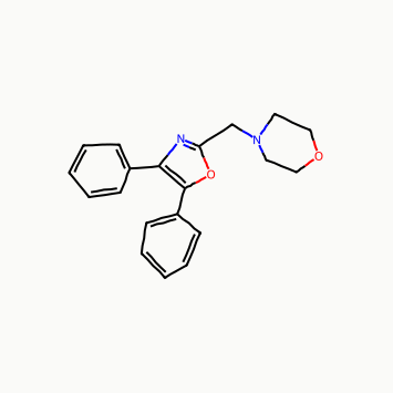 c1ccc(-c2nc(CN3CCOCC3)oc2-c2ccccc2)cc1